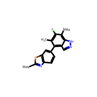 CNc1nc2ccc(-c3c(C)c(F)c(NC)c4[nH]ncc34)cc2s1